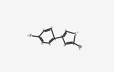 Fc1ccc(-c2[c]sc(Br)c2)cc1